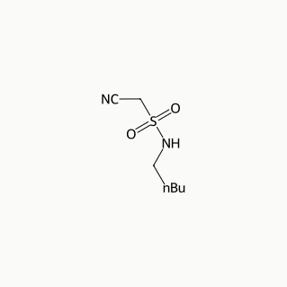 CCCCCNS(=O)(=O)CC#N